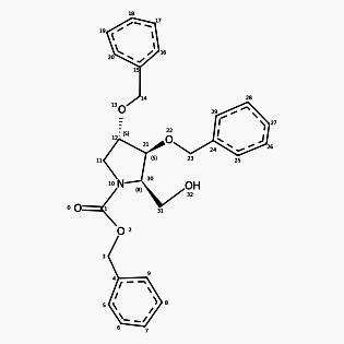 O=C(OCc1ccccc1)N1C[C@H](OCc2ccccc2)[C@@H](OCc2ccccc2)[C@H]1CO